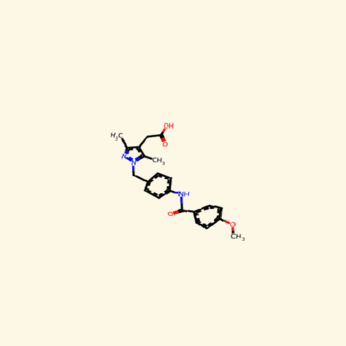 COc1ccc(C(=O)Nc2ccc(Cn3nc(C)c(CC(=O)O)c3C)cc2)cc1